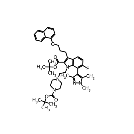 Cc1nn(C)c(C)c1-c1c(F)ccc2c(CCCOc3cccc4ccccc34)c(C(=O)OC(C)(C)C)n(CCN3CCN(C(=O)OC(C)(C)C)CC3)c12